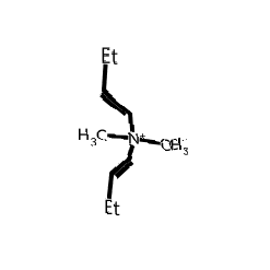 CCC=C[N+](C)(C)C=CCC.[Cl-]